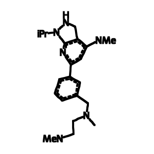 CNCCN(C)Cc1cccc(-c2cc(NC)c3c(n2)N(C(C)C)NC3)c1